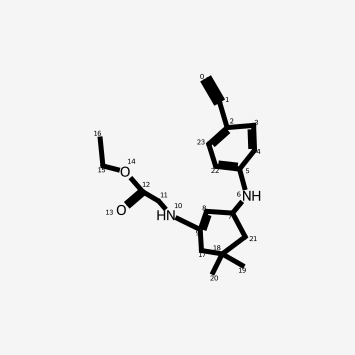 C#Cc1ccc(NC2C=C(NCC(=O)OCC)CC(C)(C)C2)cc1